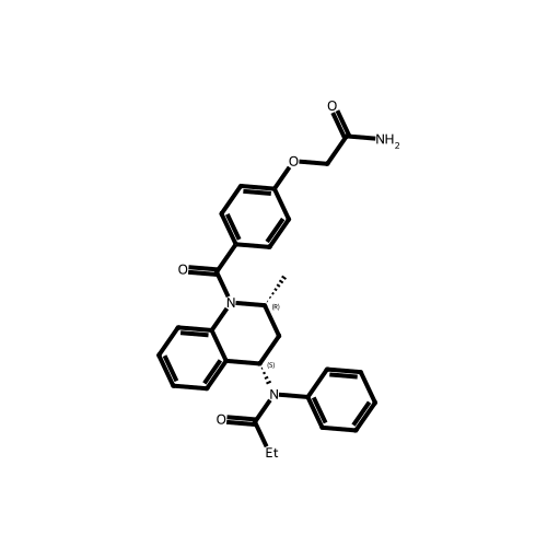 CCC(=O)N(c1ccccc1)[C@H]1C[C@@H](C)N(C(=O)c2ccc(OCC(N)=O)cc2)c2ccccc21